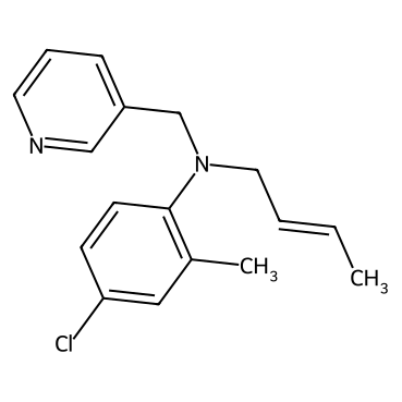 CC=CCN(Cc1cccnc1)c1ccc(Cl)cc1C